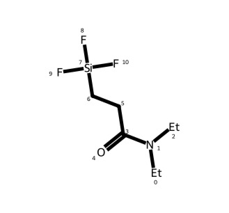 CCN(CC)C(=O)CC[Si](F)(F)F